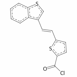 O=C(Cl)c1ccc(C=Cc2csc3ccccc23)s1